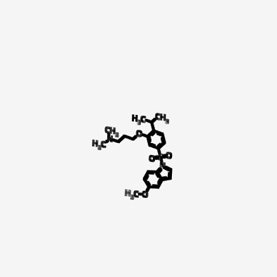 COc1ccc2c(ccn2S(=O)(=O)c2ccc(C(C)C)c(OCCCN(C)C)c2)c1